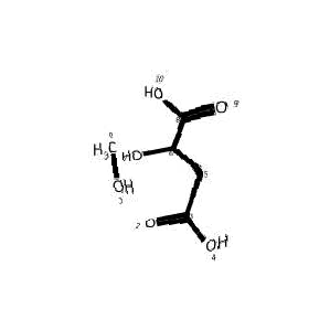 CO.O=C(O)CC(O)C(=O)O